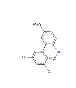 COc1ccc(NC(=O)O)c(-c2cc(Cl)cc(Cl)c2)c1